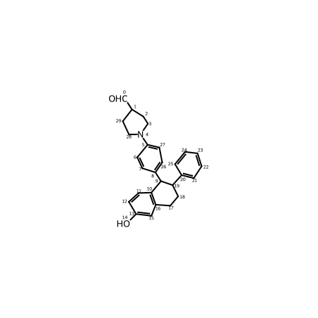 O=CC1CCN(c2ccc(C3c4ccc(O)cc4CCC3c3ccccc3)cc2)CC1